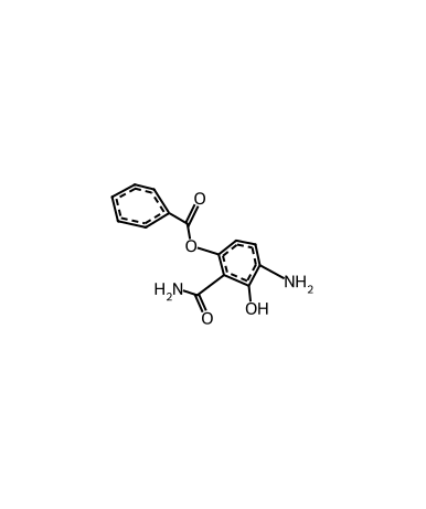 NC(=O)c1c(OC(=O)c2ccccc2)ccc(N)c1O